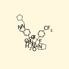 NC1CC2CCC(C1)N2C(=O)[C@H](NS(=O)(=O)c1ccc2c(cnn2CC2CCCC2)c1)C(F)(F)c1ccc(C(F)(F)F)cc1